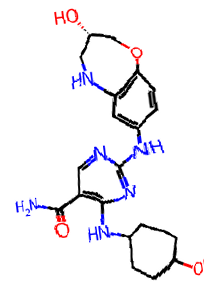 NC(=O)c1cnc(Nc2ccc3c(c2)NC[C@H](O)CO3)nc1NC1CCC(O)CC1